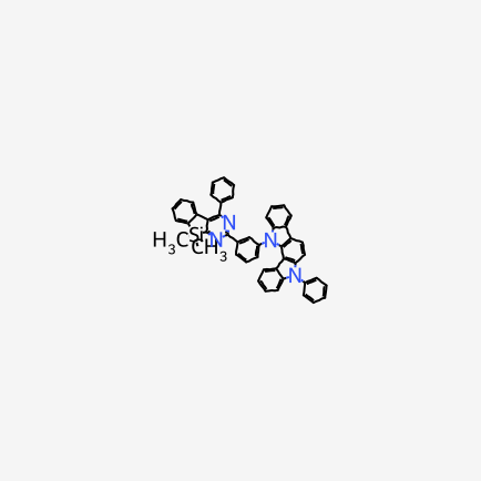 C[Si]1(C)c2ccccc2-c2c(-c3ccccc3)nc(-c3cccc(-n4c5ccccc5c5ccc6c(c7ccccc7n6-c6ccccc6)c54)c3)nc21